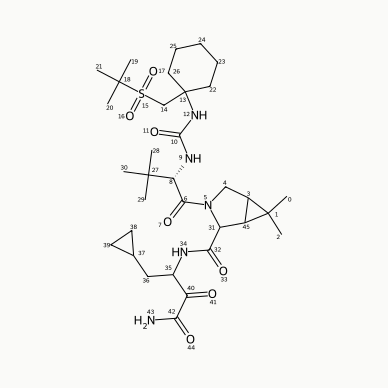 CC1(C)C2CN(C(=O)[C@@H](NC(=O)NC3(CS(=O)(=O)C(C)(C)C)CCCCC3)C(C)(C)C)C(C(=O)NC(CC3CC3)C(=O)C(N)=O)C21